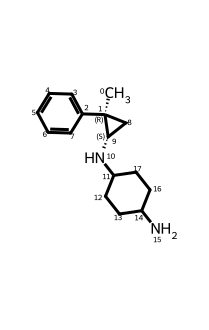 C[C@]1(c2ccccc2)C[C@@H]1NC1CCC(N)CC1